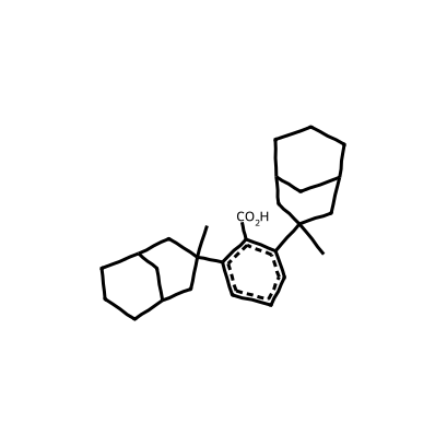 CC1(c2cccc(C3(C)CC4CCCC(C4)C3)c2C(=O)O)CC2CCCC(C2)C1